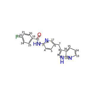 O=C(Nc1ccc(Cc2c[nH]c3ncccc23)cn1)c1ccc(F)cc1